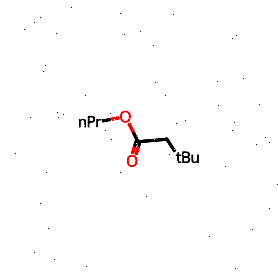 CCCOC(=O)CC(C)(C)C